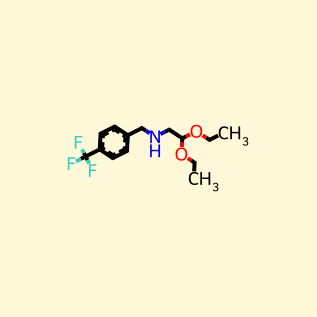 CCOC(CNCc1ccc(C(F)(F)F)cc1)OCC